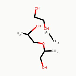 CC(O)COC(C)CO.CCCC.OCCO